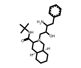 CC(C)(C)NC(=O)C1C[C@@H]2CCCC[C@@H]2CN1CC(O)C(N)Cc1ccccc1